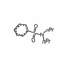 CCCN(CCC)S(=O)(=O)c1ccccc1